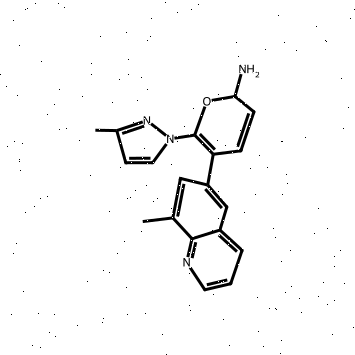 Cc1ccn(C2=C(c3cc(C)c4ncccc4c3)C=CC(N)O2)n1